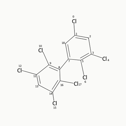 Clc1cc(Cl)c(Cl)c(-c2c(Cl)c(Cl)cc(Cl)c2Cl)c1